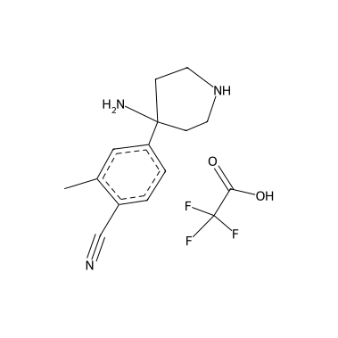 Cc1cc(C2(N)CCNCC2)ccc1C#N.O=C(O)C(F)(F)F